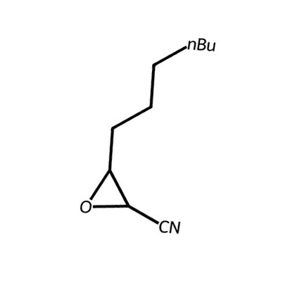 CCCCCCCC1OC1C#N